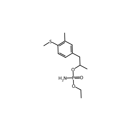 CCOP(N)(=O)OC(C)Cc1ccc(SC)c(C)c1